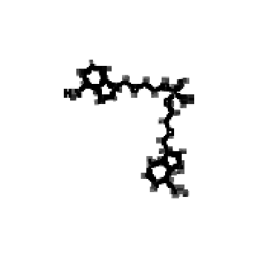 Nc1ncnc2c1ncn2COCCOP(O)(=S)OCCOCn1cnc2c(N)ncnc21